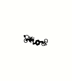 CCOC(=O)c1cn(Cc2ccc(COS(C)=O)cc2)nn1